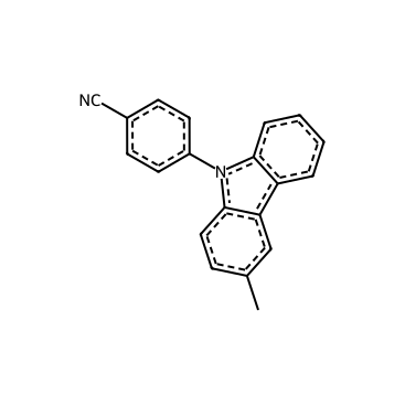 Cc1ccc2c(c1)c1ccccc1n2-c1ccc(C#N)cc1